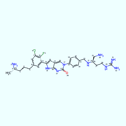 C[C@H](N)CCCc1cc(Cl)c(F)c(-c2cc3cn(-c4ccc(CN[C@@H](CN)CCNC(=N)N)cc4)c(=O)nc3[nH]2)c1